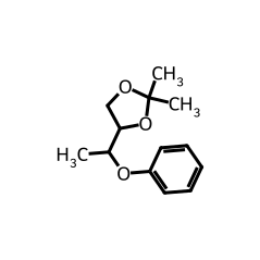 CC(Oc1ccccc1)C1COC(C)(C)O1